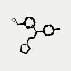 Cc1ccc(/C(=C/CN2CCCC2)c2cccc(CO)c2)cc1